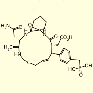 C=C1NCCC/C=C/[C@H](c2ccc(CP(=O)(O)O)cc2)[C@H](CC(=O)O)C(=O)NC2(CCCCC2)C(=O)N[C@H]1CC(N)=O